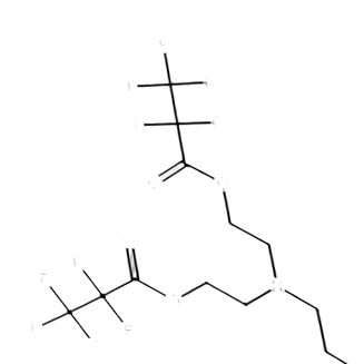 CCCN(CCOC(=O)C(F)(F)C(F)(F)F)CCOC(=O)C(F)(F)C(F)(F)F